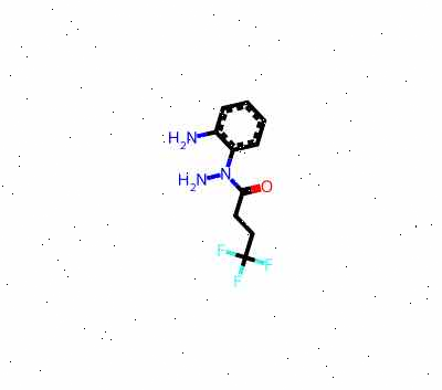 Nc1ccccc1N(N)C(=O)CCC(F)(F)F